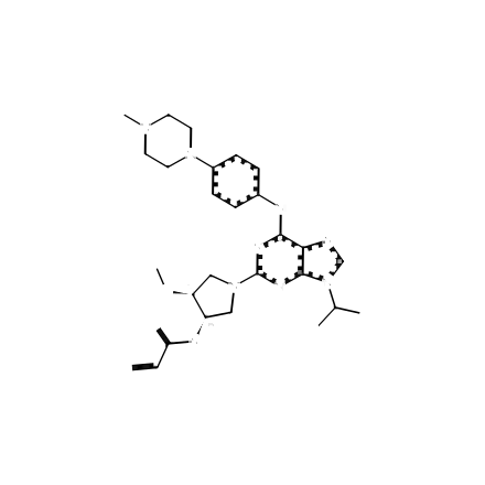 C=CC(=O)N[C@@H]1CN(c2nc(Nc3ccc(N4CCN(C)CC4)cc3)c3ncn(C(C)C)c3n2)C[C@@H]1OC